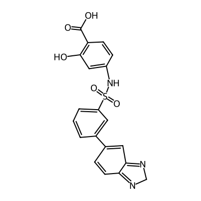 O=C(O)c1ccc(NS(=O)(=O)c2cccc(-c3ccc4c(c3)=NCN=4)c2)cc1O